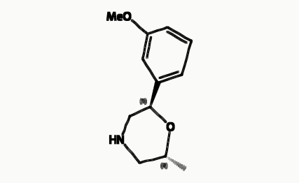 COc1cccc([C@@H]2CNC[C@@H](C)O2)c1